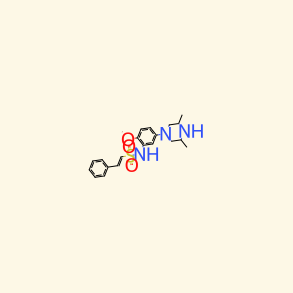 COc1ccc(N2CC(C)NC(C)C2)cc1NS(=O)(=O)/C=C/c1ccccc1